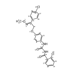 CON=C(COc1ccc(NC(=O)NC(=O)c2ccccc2Cl)cc1)c1ccc(Cl)cc1